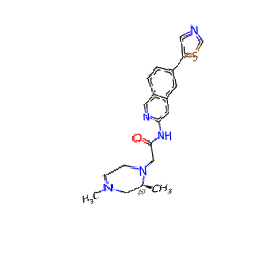 C[C@H]1CN(C)CCN1CC(=O)Nc1cc2cc(-c3cncs3)ccc2cn1